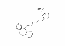 O=C(O)[C@@H]1CCCN(CCCOCCC2c3ccccc3CCc3ccccc32)C1